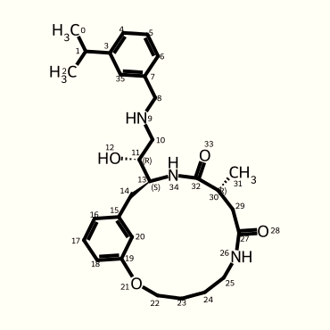 CC(C)c1cccc(CNC[C@@H](O)[C@@H]2Cc3cccc(c3)OCCCCNC(=O)C[C@@H](C)C(=O)N2)c1